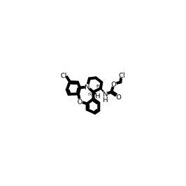 O=C(N[C@@H]1CCCN2c3cc(Cl)ccc3Oc3ccccc3[C@@H]12)OCCl